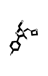 O=Cc1nc(-c2ccc(F)cc2)c(I)n1C[C@@H]1CCO1